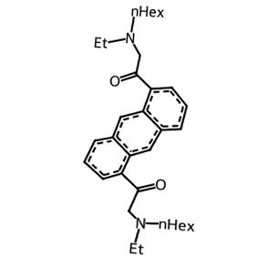 CCCCCCN(CC)CC(=O)c1cccc2cc3c(C(=O)CN(CC)CCCCCC)cccc3cc12